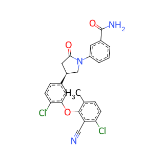 Cc1ccc(Cl)c(C#N)c1Oc1cc([C@H]2CC(=O)N(c3cccc(C(N)=O)c3)C2)ccc1Cl